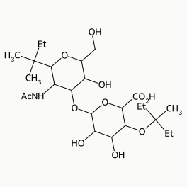 CCC(C)(CC)OC1C(C(=O)O)OC(OC2C(O)C(CO)OC(C(C)(C)CC)C2NC(C)=O)C(O)C1O